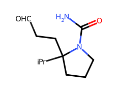 CC(C)C1(CCC=O)CCCN1C(N)=O